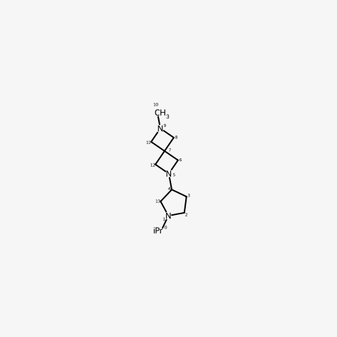 CC(C)N1CCC(N2CC3(CN(C)C3)C2)C1